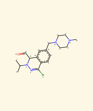 CC(C)N1N=C(Br)c2ccc(CN3CCN(C)CC3)cc2C1C=O